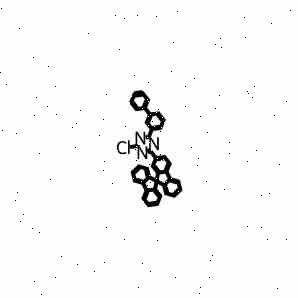 Clc1nc(-c2cccc(-c3cc#ccc3)c2)nc(-c2ccc3c(c2)C2(c4ccccc4-c4ccccc42)c2ccccc2-3)n1